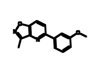 COc1cccc(-c2ccc3onc(C)c3n2)c1